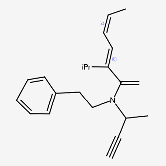 C#CC(C)N(CCc1ccccc1)C(=C)/C(=C/C=C\C)C(C)C